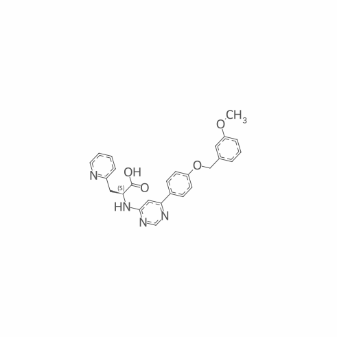 COc1cccc(COc2ccc(-c3cc(N[C@@H](Cc4ccccn4)C(=O)O)ncn3)cc2)c1